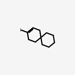 IC1=CCC2(CCCCC2)CC1